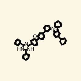 C1=CCCC(c2ccc3c(c2)c2ccccc2n3-c2cccc(-c3ccc4c(c3)oc3cc(C5=NC(c6ccccc6)NC(c6ccccc6)N5)ccc34)c2)=C1